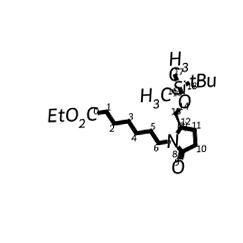 CCOC(=O)CCCCCCN1C(=O)CC[C@@H]1CO[Si](C)(C)C(C)(C)C